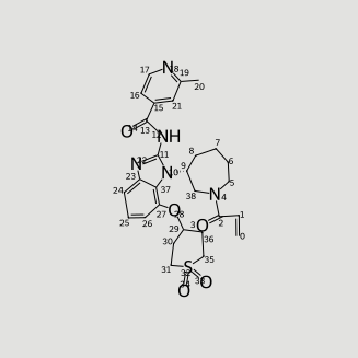 C=CC(=O)N1CCCC[C@@H](n2c(NC(=O)c3ccnc(C)c3)nc3cccc(OC4CCS(=O)(=O)CC4)c32)C1